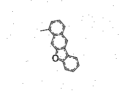 Cc1cccc2cc3c(cc12)oc1ccccc13